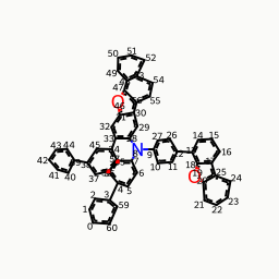 c1ccc(-c2ccc(N(c3ccc(-c4cccc5c4oc4ccccc45)cc3)c3cc4c(cc3-c3cccc(-c5ccccc5)c3)oc3c5ccccc5ccc43)cc2)cc1